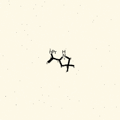 C=C(CCC)C1CC(C)(C)CN1